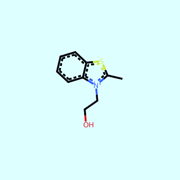 Cc1sc2ccccc2[n+]1CCO